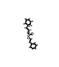 O=S(OC=Cc1ccccc1)OC=Cc1ccccc1